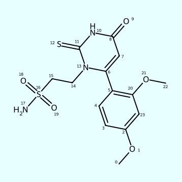 COc1ccc(-c2cc(=O)[nH]c(=S)n2CCS(N)(=O)=O)c(OC)c1